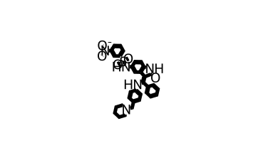 O=C1Nc2ccc(NS(=O)(=O)c3cccc([N+](=O)[O-])c3)cc2C1=C(Nc1ccc(CN2CCCCC2)cc1)c1ccccc1